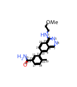 COCCNc1nncc2cc(-c3cc(C(N)=O)ccc3C)ccc12